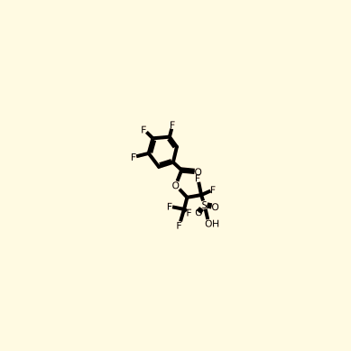 O=C(OC(C(F)(F)F)C(F)(F)S(=O)(=O)O)c1cc(F)c(F)c(F)c1